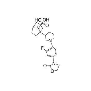 O=C1OCCN1c1ccc(N2CCCC(C34CCC(CC(O)C3)N4C(=O)O)C2)c(F)c1